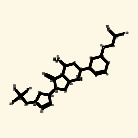 CC1CC(C2C=NCC(OCC(F)F)C2)NC2CN(C3C=NN(CC(F)(F)F)C3)C(=O)C12